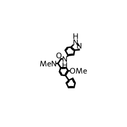 CNC(C(=O)Nc1ccc2[nH]ncc2c1)c1ccc(-c2ccccc2)c(OC)c1